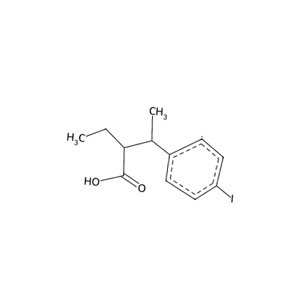 CCC(C(=O)O)C(C)c1[c]cc(I)cc1